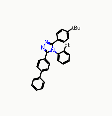 CCc1ccccc1-n1c(-c2ccc(-c3ccccc3)cc2)nnc1-c1ccc(C(C)(C)C)cc1